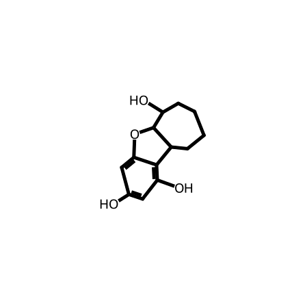 Oc1cc(O)c2c(c1)OC1C(O)CCCCC21